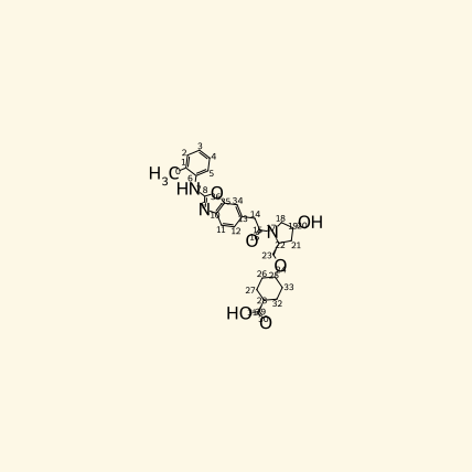 Cc1ccccc1Nc1nc2ccc(CC(=O)N3C[C@H](O)C[C@H]3CO[C@H]3CC[C@H](C(=O)O)CC3)cc2o1